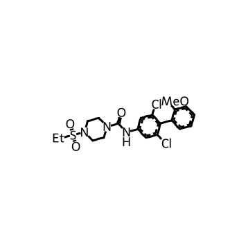 CCS(=O)(=O)N1CCN(C(=O)Nc2cc(Cl)c(-c3ccccc3OC)c(Cl)c2)CC1